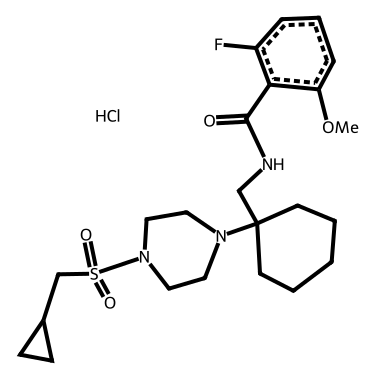 COc1cccc(F)c1C(=O)NCC1(N2CCN(S(=O)(=O)CC3CC3)CC2)CCCCC1.Cl